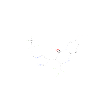 COc1ccc2nc(C(F)(F)F)c(-c3cnn(CC(F)(F)C(F)(F)F)c3)c(=O)n2c1